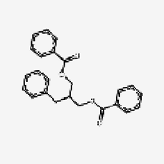 O=C(OCC(COC(=O)c1ccccc1)Cc1ccccc1)c1ccccc1